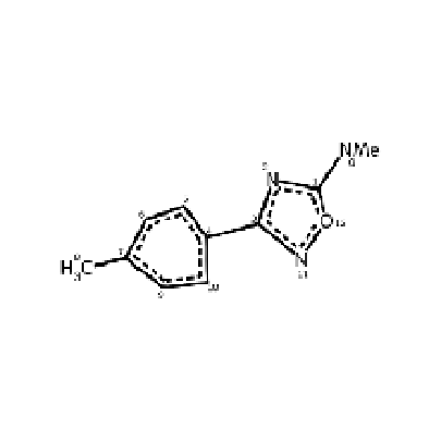 CNc1nc(-c2ccc(C)cc2)no1